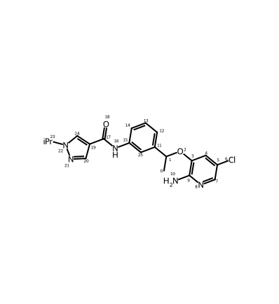 CC(Oc1cc(Cl)cnc1N)c1cccc(NC(=O)c2cnn(C(C)C)c2)c1